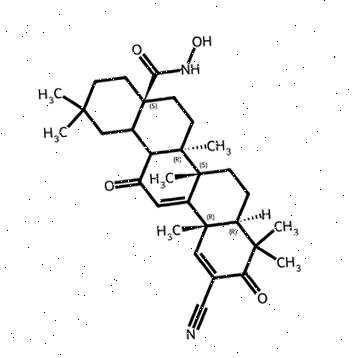 CC1(C)CC[C@]2(C(=O)NO)CC[C@]3(C)C(C(=O)C=C4[C@@]5(C)C=C(C#N)C(=O)C(C)(C)[C@@H]5CC[C@]43C)C2C1